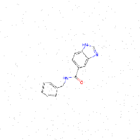 O=C(NCc1ccccc1)c1ccc2[nH]cnc2c1